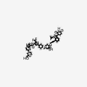 O=C1CCC(c2nn(C3CC3)c3c(C#CCO[C@H]4CCN(C[C@H]5CC[C@H](n6cc(NC(=O)c7cnn8ccc(N9CCOC(CO)C9)nc78)c(C(F)F)n6)CC5)C[C@@]4(F)S)cccc23)C(=O)N1